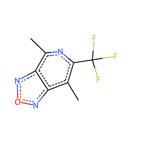 Cc1nc(C(F)(F)F)c(C)c2nonc12